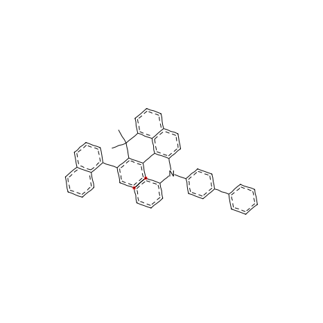 CC1(C)c2c(-c3cccc4ccccc34)cccc2-c2c(N(c3ccccc3)c3ccc(-c4ccccc4)cc3)ccc3cccc1c23